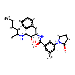 CCCc1cc(C(=O)NC(Cc2ccccc2)C(O)CNC(C)CCCC(C)C)cc(N2CCCC2=O)c1